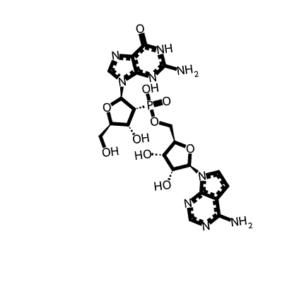 Nc1nc2c(ncn2[C@@H]2O[C@H](CO)[C@@H](O)[C@H]2P(=O)(O)OC[C@H]2O[C@@H](n3ccc4c(N)ncnc43)[C@H](O)[C@@H]2O)c(=O)[nH]1